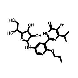 CCCOc1ccc(NC2OC(C(O)CO)C(O)C2O)cc1-c1nc(C(C)C)c(Br)c(=O)[nH]1